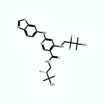 CC(C)(O)[C@H](F)CNC(=O)c1cnc(Nc2ccc3ncsc3c2)cc1NCC(F)(F)C(C)(C)O